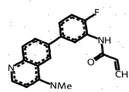 C=CC(=O)Nc1cc(-c2ccc3nccc(NC)c3c2)ccc1F